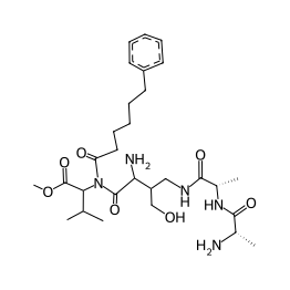 COC(=O)C(C(C)C)N(C(=O)CCCCCc1ccccc1)C(=O)C(N)C(CO)CNC(=O)[C@H](C)NC(=O)[C@H](C)N